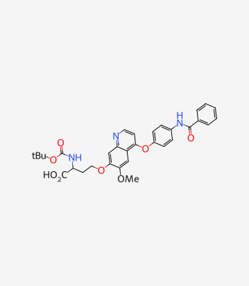 COc1cc2c(Oc3ccc(NC(=O)c4ccccc4)cc3)ccnc2cc1OCCC(NC(=O)OC(C)(C)C)C(=O)O